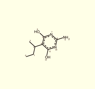 CCC(C)c1c(O)nc(N)nc1O